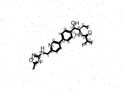 Cc1nc(NCc2ccc(-c3ccc([C@@H](O)[C@@H](CF)NC(=O)C(F)F)cc3)cn2)no1